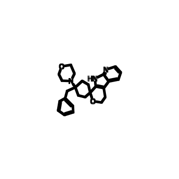 c1ccc(CC2(N3CCOCC3)CCC3(CC2)OCCc2c3[nH]c3ncccc23)cc1